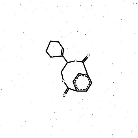 O=C1OCC(C2=CCCCC2)OC(=O)c2ccc1cc2